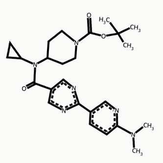 CN(C)c1ccc(-c2ncc(C(=O)N(C3CC3)C3CCN(C(=O)OC(C)(C)C)CC3)cn2)cn1